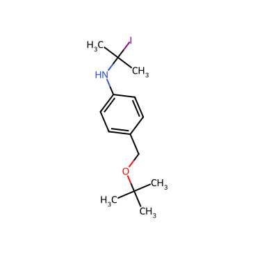 CC(C)(I)Nc1ccc(COC(C)(C)C)cc1